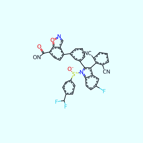 N#Cc1cccc(C#N)c1-c1c(-c2cccc(-c3ccc(C(=O)N=O)c4oncc34)c2)n([S+]([O-])c2ccc(C(F)F)cc2)c2ccc(F)cc12